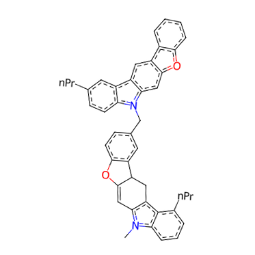 CCCc1ccc2c(c1)c1cc3c(cc1n2Cc1ccc2c(c1)C1Cc4c(n(C)c5cccc(CCC)c45)C=C1O2)oc1ccccc13